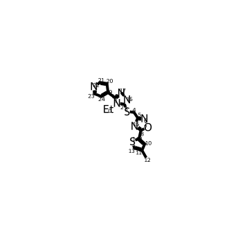 CCn1c(SCc2noc(-c3cc(C)cs3)n2)nnc1-c1ccncc1